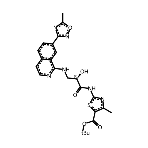 Cc1nc(-c2ccc3ccnc(NC[C@@H](O)C(=O)Nc4nc(C)c(C(=O)OC(C)(C)C)s4)c3c2)no1